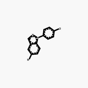 Clc1ccc(-n2ncc3cc(Br)ccc32)cc1